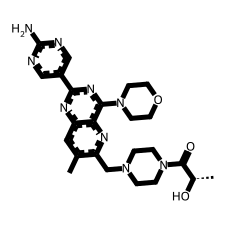 Cc1cc2nc(-c3cnc(N)nc3)nc(N3CCOCC3)c2nc1CN1CCN(C(=O)[C@H](C)O)CC1